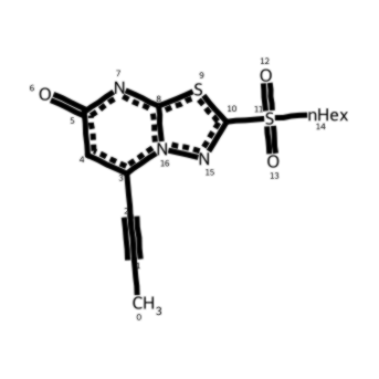 CC#Cc1cc(=O)nc2sc(S(=O)(=O)CCCCCC)nn12